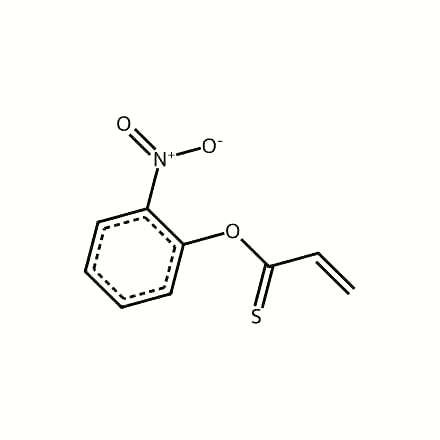 C=CC(=S)Oc1ccccc1[N+](=O)[O-]